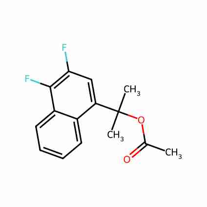 CC(=O)OC(C)(C)c1cc(F)c(F)c2ccccc12